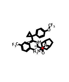 NC1CC2CCC(C1)N2C(=O)[C@H](Cc1ccc(C(F)(F)F)cc1)NC(=O)C1(c2ccc(OC(F)(F)F)cc2)CC1